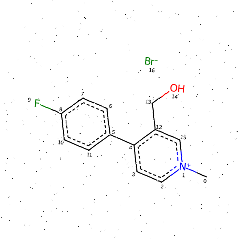 C[n+]1ccc(-c2ccc(F)cc2)c(CO)c1.[Br-]